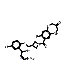 CN/C=C\C(N)c1cc(Cl)ccc1OCC1CN(C(=O)c2cc3c(cc2F)OCC(=O)CN3)C1